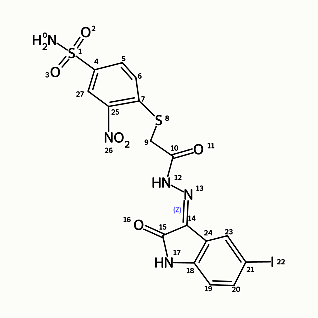 NS(=O)(=O)c1ccc(SCC(=O)N/N=C2\C(=O)Nc3ccc(I)cc32)c([N+](=O)[O-])c1